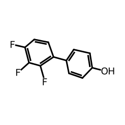 Oc1ccc(-c2ccc(F)c(F)c2F)cc1